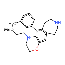 COCCN1CCOc2cc3c(c(-c4cccc(C)c4)c21)CCNCC3